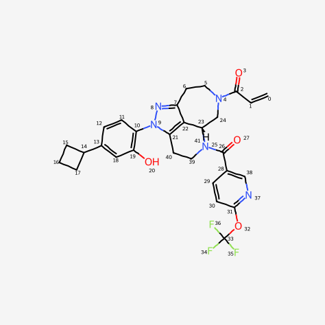 C=CC(=O)N1CCc2nn(-c3ccc(C4CCC4)cc3O)c3c2[C@H](C1)N(C(=O)c1ccc(OC(F)(F)F)nc1)CC3